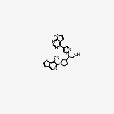 N#CCC(C1CCN(c2ncc3ccsc3c2C#N)C1)n1cc(-c2ncnc3[nH]ccc23)cn1